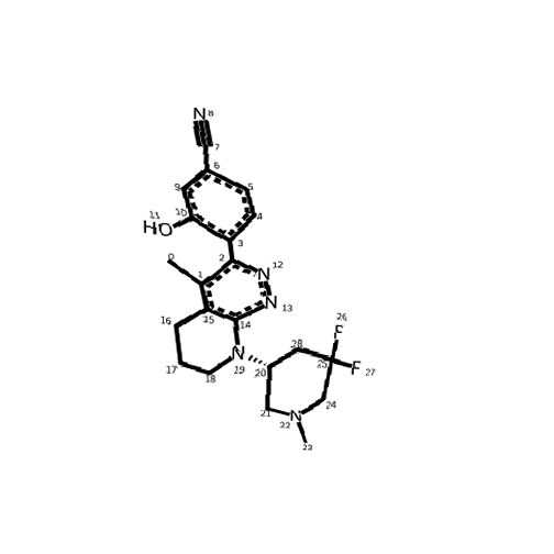 Cc1c(-c2ccc(C#N)cc2O)nnc2c1CCCN2[C@H]1CN(C)CC(F)(F)C1